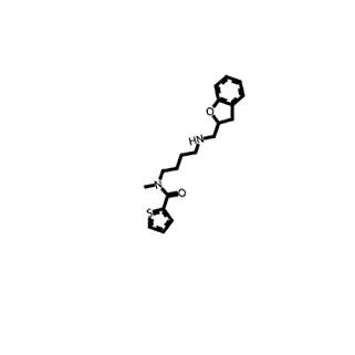 CN(CCCCNCC1Cc2ccccc2O1)C(=O)c1cccs1